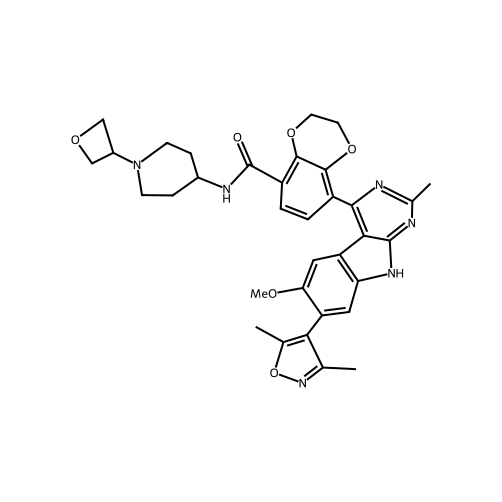 COc1cc2c(cc1-c1c(C)noc1C)[nH]c1nc(C)nc(-c3ccc(C(=O)NC4CCN(C5COC5)CC4)c4c3OCCO4)c12